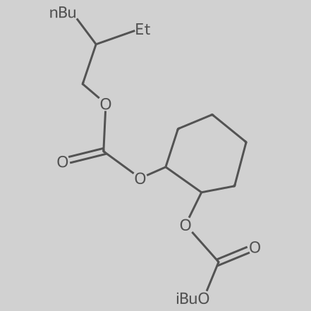 CCCCC(CC)COC(=O)OC1CCCCC1OC(=O)OCC(C)C